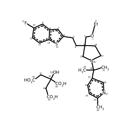 CCOCC1(CCc2cc3cc(F)ccc3s2)CCN(C(C)(C)c2ccc(C)nc2)C1.O=C(O)CC(O)(CC(=O)O)C(=O)O